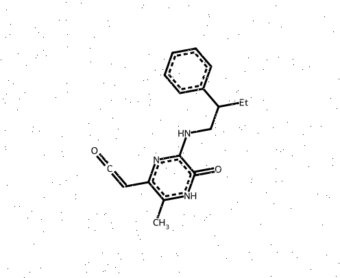 CCC(CNc1nc(C=C=O)c(C)[nH]c1=O)c1ccccc1